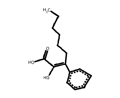 CCCCCCC(=C(O)C(=O)O)c1ccccc1